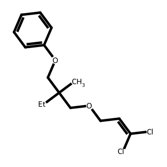 CCC(C)(COCC=C(Cl)Cl)COc1ccccc1